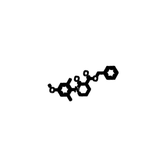 COc1cc(C)c(N2CCCC(C(=O)OCc3ccccc3)C2=O)c(C)c1